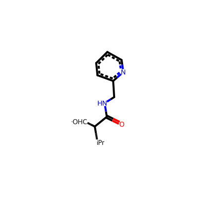 CC(C)C([C]=O)C(=O)NCc1ccccn1